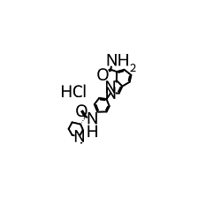 CN1CCC[C@H](C(=O)Nc2ccc(-n3cc4cccc(C(N)=O)c4n3)cc2)C1.Cl